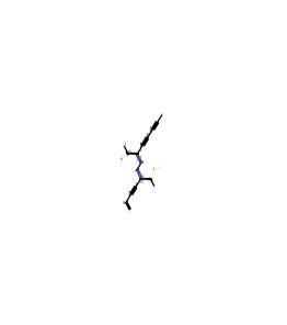 C=CC#C/C(=C/C=C(/C#CC#CC)C(C)=S)C(C)=S